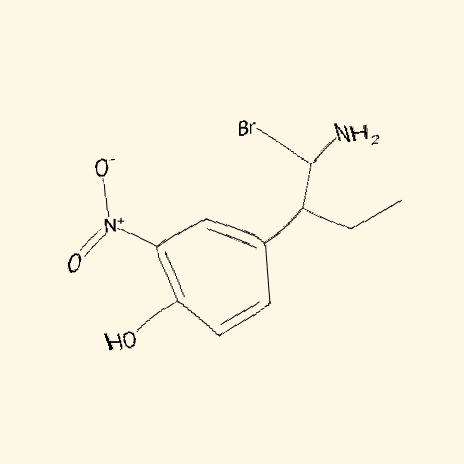 CCC(c1ccc(O)c([N+](=O)[O-])c1)C(N)Br